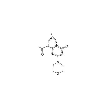 CC(=O)c1cc(C)cn2c(=O)cc(N3CCOCC3)nc12